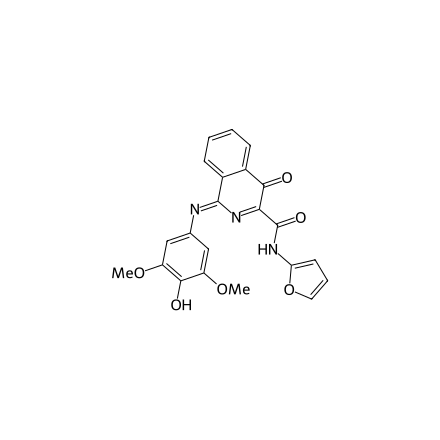 COc1cc(N=C2N=C(C(=O)Nc3ccco3)C(=O)c3ccccc32)cc(OC)c1O